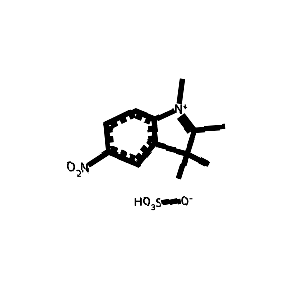 CC1=[N+](C)c2ccc([N+](=O)[O-])cc2C1(C)C.O=S(=O)([O-])O